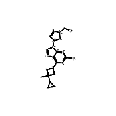 Nc1nc(N2CC(F)(C3CC3)C2)c2ncn([C@H]3C=C[C@@H](CO)C3)c2n1